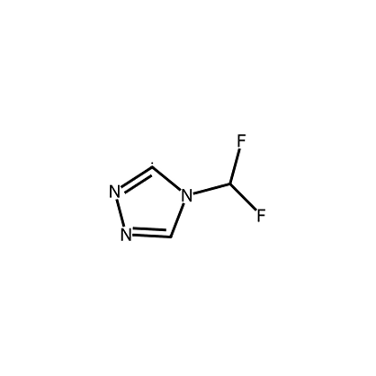 FC(F)n1[c]nnc1